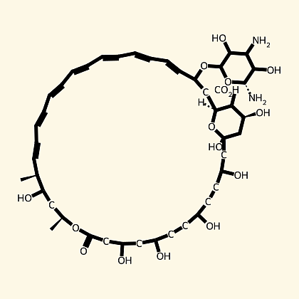 C[C@H]1CC(O)[C@@H](C)/C=C/C=C/C=C/C=C/C=C/C=C/C=C/C(OC2O[C@@H](N)C(O)C(N)C2O)C[C@@H]2OC(O)(CC(O)CCC(O)CCC(O)CC(O)CC(=O)O1)C[C@H](O)C2C(=O)O